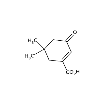 CC1(C)CC(=O)C=C(C(=O)O)C1